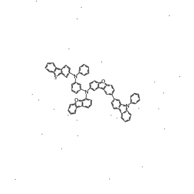 c1ccc(N(c2cccc(N(c3ccc4oc5ccc(-c6ccc7c8ccccc8n(-c8ccccc8)c7c6)cc5c4c3)c3cccc4c3oc3ccccc34)c2)c2ccc3c(c2)sc2ccccc23)cc1